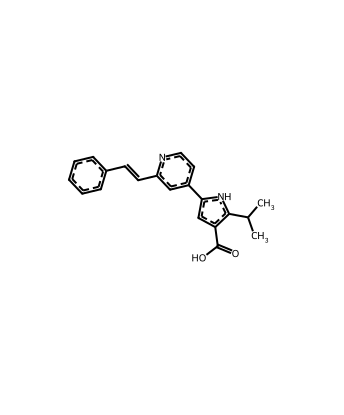 CC(C)c1[nH]c(-c2ccnc(C=Cc3ccccc3)c2)cc1C(=O)O